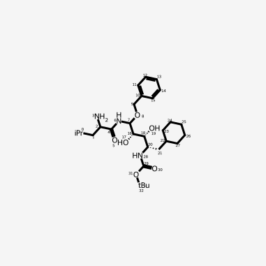 CC(C)CC(N)C(=O)NC(OCc1ccccc1)[C@@H](O)[C@H](O)[C@H](CC1CCCCC1)NC(=O)OC(C)(C)C